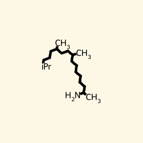 CC(C)CCCC(C)CCC(C)CCCCCCC(C)N